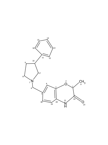 CC1Oc2cc(CN3CCC(c4ccccc4)C3)ccc2NC1=O